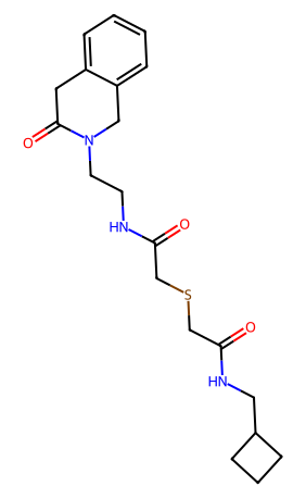 O=C(CSCC(=O)NCC1CCC1)NCCN1Cc2ccccc2CC1=O